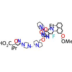 CCc1cccc2cc(OCOC)cc(-c3ncc4c(N5CC6CCC(C5)N6C(=O)OC(C)(C)C)nc(OC[C@@]56CCCN5[C@H](CN5CCN(c7cc(C(C(=O)O)C(C)C)on7)CC5)CC6)nc4c3F)c12